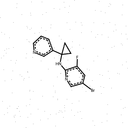 Fc1cc(Br)cnc1NC1(c2cccnc2)CC1